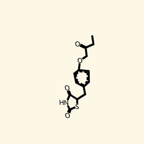 CCC(=O)COc1ccc(CC2SC(=O)NC2=O)cc1